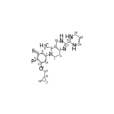 CC1C2=C(CCN1c1cc(F)c(F)c(OCC3CC3)c1)N=C(C1NC=CCN1)NC2